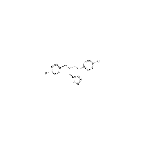 Fc1ccc(CC(CCc2ccc(Cl)cc2)Cn2ccnc2)cc1